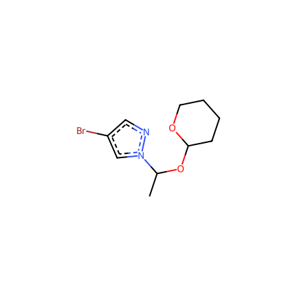 CC(OC1CCCCO1)n1cc(Br)cn1